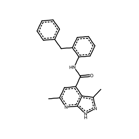 Cc1cc(C(=O)Nc2ccccc2Cc2ccccc2)c2c(C)n[nH]c2n1